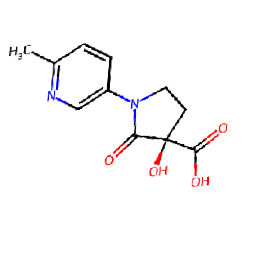 Cc1ccc(N2CC[C@](O)(C(=O)O)C2=O)cn1